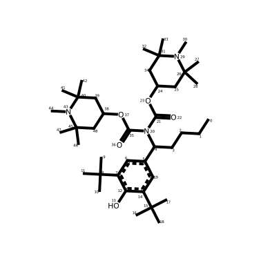 CCCCC(c1cc(C(C)(C)C)c(O)c(C(C)(C)C)c1)N(C(=O)OC1CC(C)(C)N(C)C(C)(C)C1)C(=O)OC1CC(C)(C)N(C)C(C)(C)C1